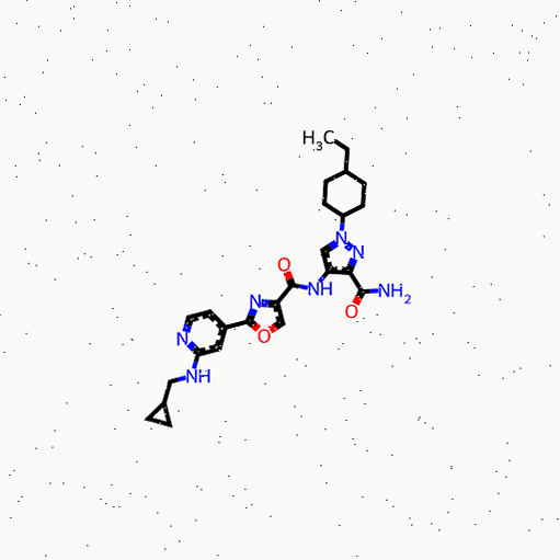 CCC1CCC(n2cc(NC(=O)c3coc(-c4ccnc(NCC5CC5)c4)n3)c(C(N)=O)n2)CC1